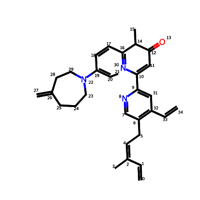 C=C/C(C)=C\Cc1cnc(C2=CC(=O)C(C)C(/C=C\C(=C/C)N3CCCC(=C)CC3)=N2)cc1C=C